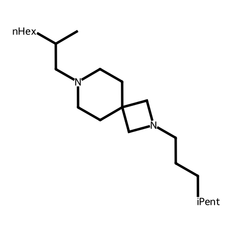 CCCCCCC(C)CN1CCC2(CC1)CN(CCCC(C)CCC)C2